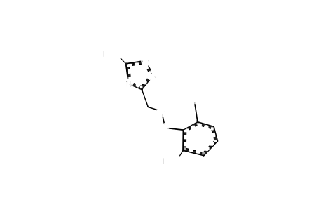 Cc1nc(COSc2c(C)cccc2C)no1